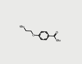 CC(C)(C)CCOc1ccc(C(=O)C(C)(C)C)cc1